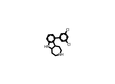 Clc1cc(Cl)cc(-c2cccc3c2C2CCNCCC2N3)c1